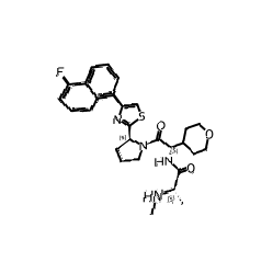 CN[C@@H](C)C(=O)N[C@H](C(=O)N1CCC[C@H]1c1nc(-c2cccc3c(F)cccc23)cs1)C1CCOCC1